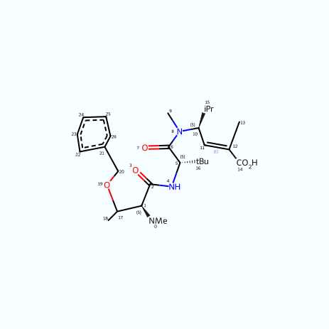 CN[C@H](C(=O)N[C@H](C(=O)N(C)[C@H](/C=C(\C)C(=O)O)C(C)C)C(C)(C)C)C(C)OCc1ccccc1